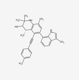 Cc1ccc(C#Cc2c(-c3cccc4c(C)c[nH]c34)cc(C)c3c2[C@H](C)C(O)C(C)(C)N3)cc1